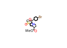 COC(=O)C1CCn2c1cc([S+](C)[O-])c2C(=O)c1ccc(Br)cc1